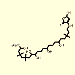 CCCCCC(O)CC(C)(C)CC(C)(C)CC(O)C(O)CCCC(O)CCCC(O)CCC(C)(C)CCNC1=CC(S)OC1=O